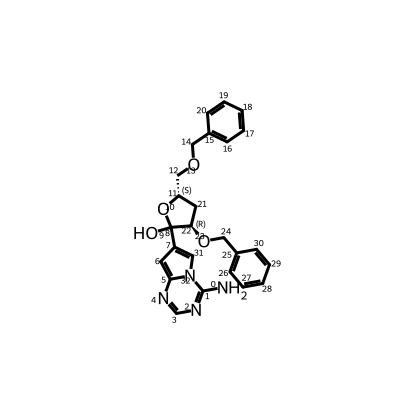 Nc1ncnc2cc(C3(O)O[C@H](COCc4ccccc4)C[C@H]3OCc3ccccc3)cn12